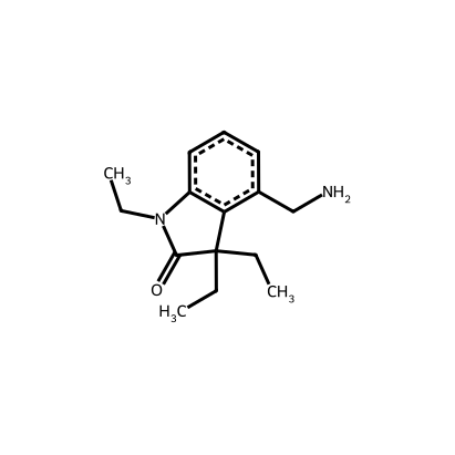 CCN1C(=O)C(CC)(CC)c2c(CN)cccc21